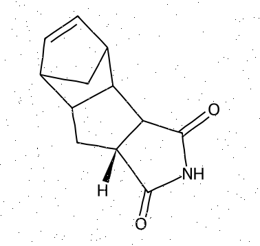 O=C1NC(=O)[C@@H]2CC3C4C=CC(C4)C3C12